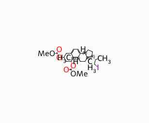 COC(=O)OC1CC2=CC=C3[C@@H]4CC[C@H](C(C)CI)[C@@]4(C)CC[C@@H]3[C@@]2(C)C(OC(=O)OC)C1